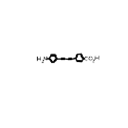 Nc1ccc(C#CC#Cc2ccc(C(=O)O)cc2)cc1